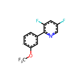 Fc1cnc(-c2cc[c]c(OC(F)(F)F)c2)c(F)c1